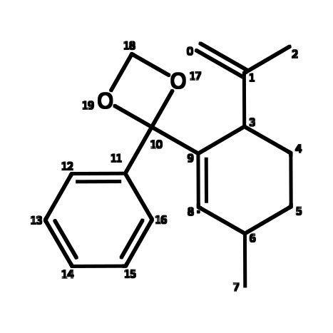 C=C(C)C1CCC(C)[C]=C1C1(c2ccccc2)OCO1